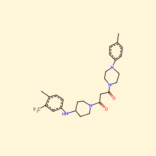 Cc1ccc(N2CCN(C(=O)CC(=O)N3CCC(Nc4ccc(C)c(C(F)(F)F)c4)CC3)CC2)cc1